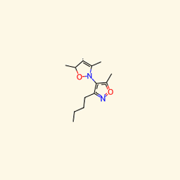 CCCCc1noc(C)c1N1OC(C)[C]=C1C